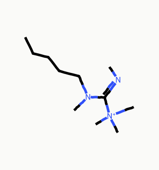 CCCCCN(C)/C(=N\C)[N+](C)(C)C